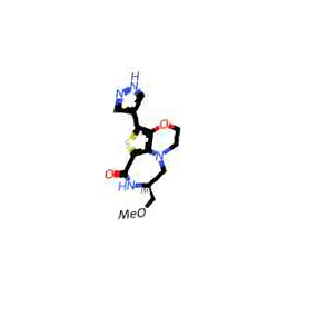 COC[C@@H]1CN2CCOc3c(-c4cn[nH]c4)sc(c32)C(=O)N1